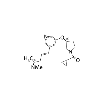 CN[C@@H](C)CC=Cc1cncc(O[C@H]2CCN(C(=O)C3CC3)C2)c1